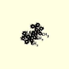 Cc1ccc2c(c1)N(c1ccccc1)c1cc(N(c3ccccc3)c3ccccc3)cc3c1B2c1cc2c(C)cc4c5c(cc6c(C)cc-3c1c6c25)B1c2ccc(N(c3ccccc3)c3ccccc3)cc2N(c2ccccc2)c2cc(C)cc-4c21